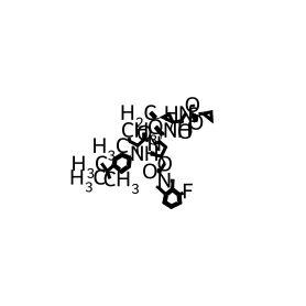 C=C[C@@H]1C[C@]1(NC(=O)[C@@H]1C[C@@H](OC(=O)N2Cc3cccc(F)c3C2)CN1C(=O)[C@@H](Nc1ccc(C(C)(C)C)cc1)C(C)C)C(=O)NS(=O)(=O)C1CC1